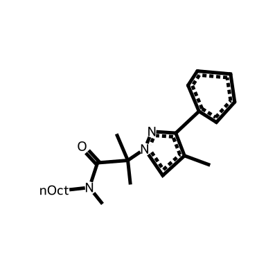 CCCCCCCCN(C)C(=O)C(C)(C)n1cc(C)c(-c2ccccc2)n1